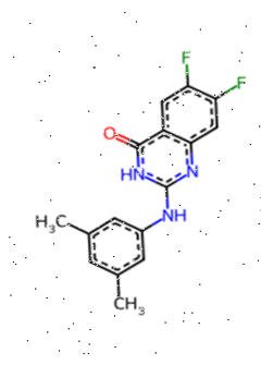 Cc1cc(C)cc(Nc2nc3cc(F)c(F)cc3c(=O)[nH]2)c1